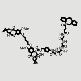 COc1cc2c(cc1OCCCCCOc1cc3c(cc1OC)C(=O)N1CC4(CC4)C[C@H]1C(O)N3C(=O)OCc1ccc(NC(=O)[C@H](C)NC(=O)[C@@H](NC(=O)CNC(=O)CNC(=O)CCC(=O)N3Cc4ccccc4C#Cc4ccccc43)C(C)C)cc1)N=C[C@@H]1CC3(CC3)CN1C2=O